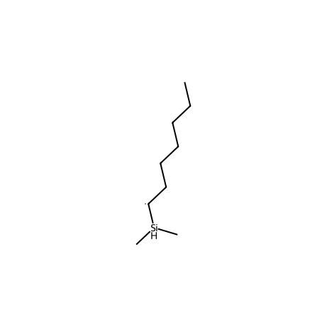 CCCCCC[CH][SiH](C)C